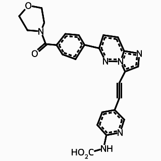 O=C(O)Nc1ccc(C#Cc2cnc3ccc(-c4ccc(C(=O)N5CCOCC5)cc4)nn23)cn1